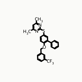 Cc1cc(C)nc(Sc2ccc(OCc3cccc(C(F)(F)F)c3)c(-c3ccccc3)c2)n1